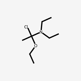 CCOC(C)(Cl)N(CC)CC